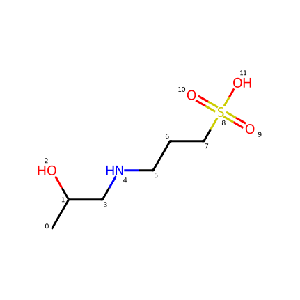 CC(O)CNCCCS(=O)(=O)O